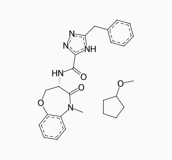 CN1C(=O)[C@@H](NC(=O)c2nnc(Cc3ccccc3)[nH]2)COc2ccccc21.COC1CCCC1